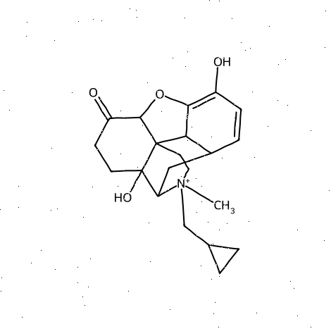 C[N+]1(CC2CC2)CCC23C4OC5=C(O)C=CC(CC1C2(O)CCC4=O)C53